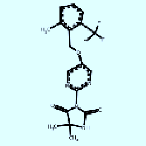 Cc1cccc(C(F)(F)F)c1COc1cnc(N2C(=O)NC(C)(C)C2=O)nc1